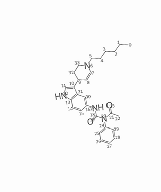 CCCCCCN1C=CC(c2c[nH]c3ccc(NC(=O)N(C(C)=O)c4ccccc4)cc23)CC1